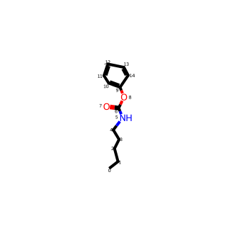 CCCCCNC(=O)Oc1cc[c]cc1